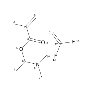 C=C(C)C(=O)OC(C)N(C)C.C=C(F)F